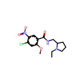 CCN1CCCC1CNC(=O)c1cc([N+](=O)[O-])c(Cl)cc1OC